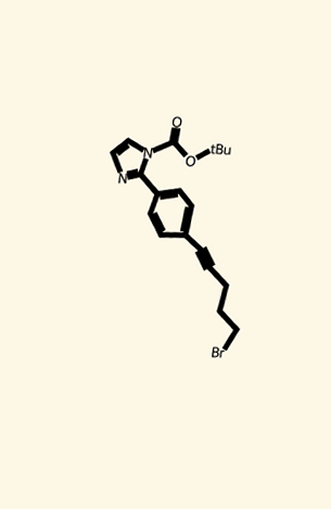 CC(C)(C)OC(=O)n1ccnc1-c1ccc(C#CCCCBr)cc1